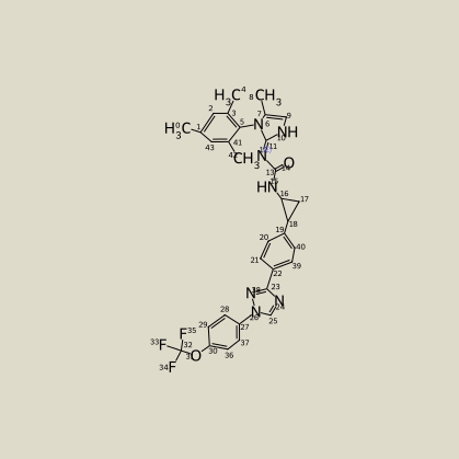 Cc1cc(C)c(-n2c(C)c[nH]/c2=N\C(=O)NC2CC2c2ccc(-c3ncn(-c4ccc(OC(F)(F)F)cc4)n3)cc2)c(C)c1